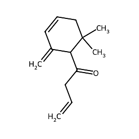 C=CCC(=O)C1C(=C)C=CCC1(C)C